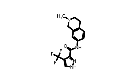 CN1CCc2ccc(NC(=O)c3n[nH]cc3C(F)(F)F)cc2C1